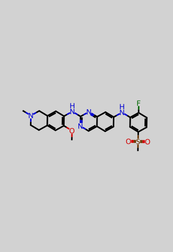 COc1cc2c(cc1Nc1ncc3ccc(Nc4cc(S(C)(=O)=O)ccc4F)cc3n1)CN(C)CC2